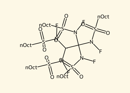 CCCCCCCCS(=O)(=O)N(F)[C](N(F)S(=O)(=O)CCCCCCCC)C(N(F)S(=O)(=O)CCCCCCCC)(N(F)S(=O)(=O)CCCCCCCC)N(F)S(=O)(=O)CCCCCCCC